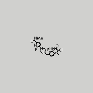 CNC(=O)c1ccc(N2CCN(Cc3ccc4c(C)c(Cl)c(=O)[nH]c4c3F)CC2)c(F)n1